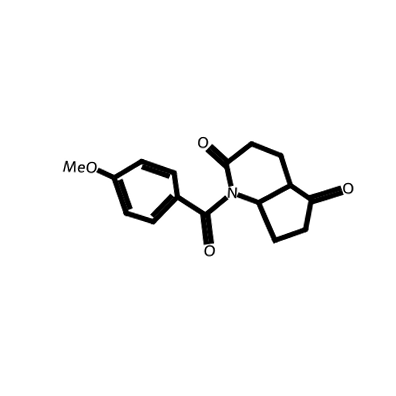 COc1ccc(C(=O)N2C(=O)CCC3C(=O)CCC32)cc1